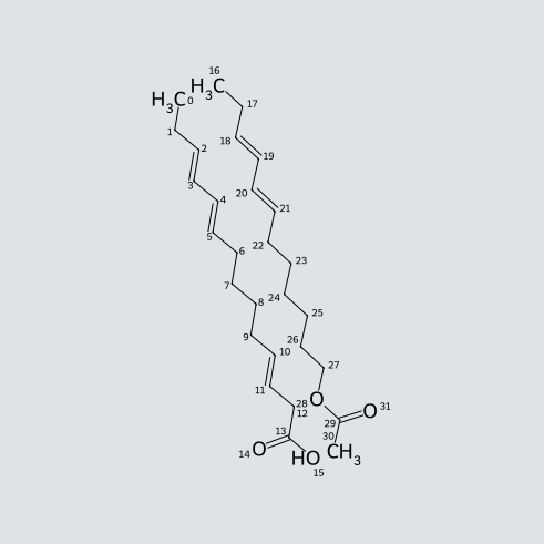 CC/C=C/C=C/CCCC/C=C/CC(=O)O.CCC=CC=CCCCCCCOC(C)=O